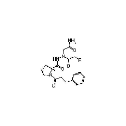 NC(=O)CN(NC(=O)[C@@H]1CCCN1C(=O)CCc1ccccc1)C(=O)CF